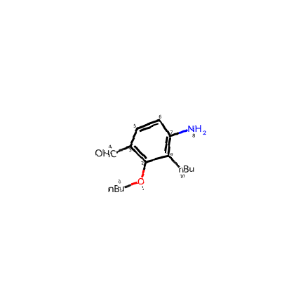 CCCCOc1c(C=O)ccc(N)c1CCCC